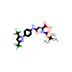 CC(C)(C)OC(=O)N[C@@H](CC(=O)Nc1ccc(-n2nc(C(F)(F)F)cc2C(F)(F)F)cc1)C(=O)O